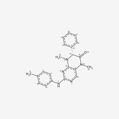 Cc1ccc(Nc2ncc3c(n2)N(C)[C@H](c2ccccc2)C(=O)N3C)cc1